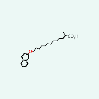 CC(=CCCCCCCCCCCOc1ccc2ccccc2c1)C(=O)O